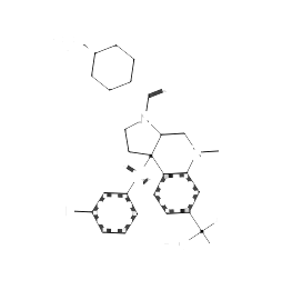 CN1CC2N(C(=O)[C@H]3CC[C@H](C(=O)O)CC3)CCC2(S(=O)(=O)c2cccc(F)c2)c2ccc(C(F)(C(F)(F)F)C(F)(F)F)cc21